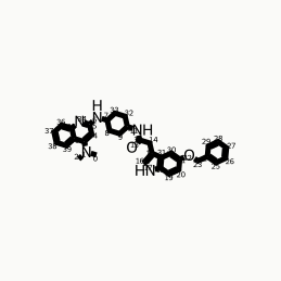 CN(C)c1cc(NC2CCC(NC(=O)Cc3c[nH]c4ccc(OCc5ccccc5)cc34)CC2)nc2ccccc12